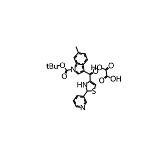 Cc1ccc2c(C(=O)C3=CSC(c4cccnc4)N3)cn(C(=O)OC(C)(C)C)c2c1.O=C(O)C(=O)O